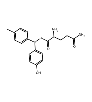 Cc1ccc(B(OC(=O)C(N)CCC(N)=O)c2ccc(O)cc2)cc1